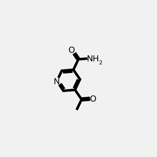 CC(=O)c1cncc(C(N)=O)c1